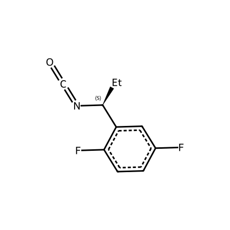 CC[C@H](N=C=O)c1cc(F)ccc1F